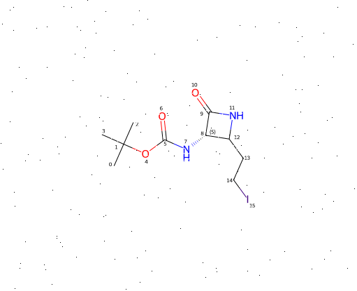 CC(C)(C)OC(=O)N[C@@H]1C(=O)NC1CCI